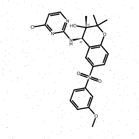 COc1cccc(S(=O)(=O)c2ccc3c(c2)[C@@H](Nc2nccc(Cl)n2)[C@](C)(O)C(C)(C)O3)c1